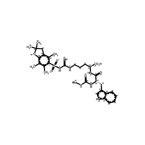 Cc1c(C)c(S(=O)(=O)NC(=N)NCCC[C@H](NC(=O)[C@H](Cc2c[nH]c3ccccc23)NC(=O)OC(C)(C)C)C(=O)O)c(C)c2c1OC(C)(C)C2